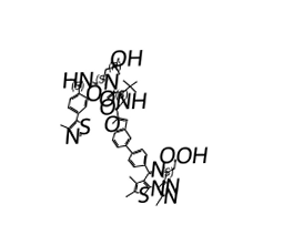 Cc1ncsc1-c1ccc([C@H](C)NC(=O)[C@@H]2C[C@@H](O)CN2C(=O)[C@@H](NC(=O)c2cc3cc(-c4ccc(C5=N[C@@H](CC(=O)O)c6nnc(C)n6-c6sc(C)c(C)c65)cc4)ccc3o2)C(C)(C)C)cc1